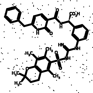 Cc1c(C)c(S(=O)(=O)NC(=N)Nc2cccc([C@H](NC(=O)c3ccc(Cc4ccccc4)[nH]c3=O)C(=O)O)c2)c(C)c2c1OC(C)(C)CC2